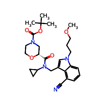 COCCCn1cc(CN(C(=O)[C@H]2CN(C(=O)OC(C)(C)C)CCO2)C2CC2)c2c(C#N)cccc21